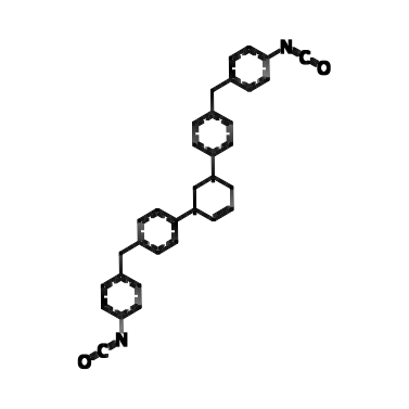 O=C=Nc1ccc(Cc2ccc([C]3C=CC[C](c4ccc(Cc5ccc(N=C=O)cc5)cc4)C3)cc2)cc1